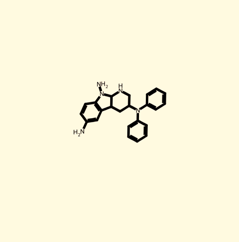 Nc1ccc2c(c1)C1CC(N(c3ccccc3)c3ccccc3)CNC1N2N